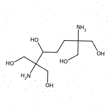 NC(CO)(CO)CCC(O)C(N)(CO)CO